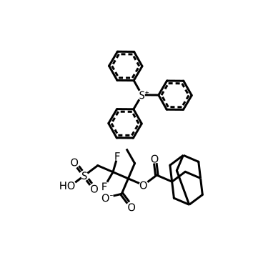 CCC(OC(=O)C12CC3CC(CC(C3)C1)C2)(C(=O)[O-])C(F)(F)CS(=O)(=O)O.c1ccc([S+](c2ccccc2)c2ccccc2)cc1